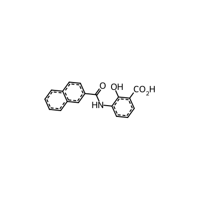 O=C(Nc1cccc(C(=O)O)c1O)c1ccc2ccccc2c1